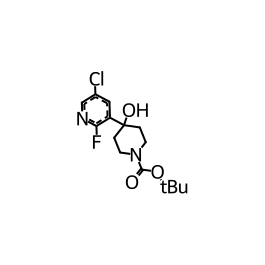 CC(C)(C)OC(=O)N1CCC(O)(c2cc(Cl)cnc2F)CC1